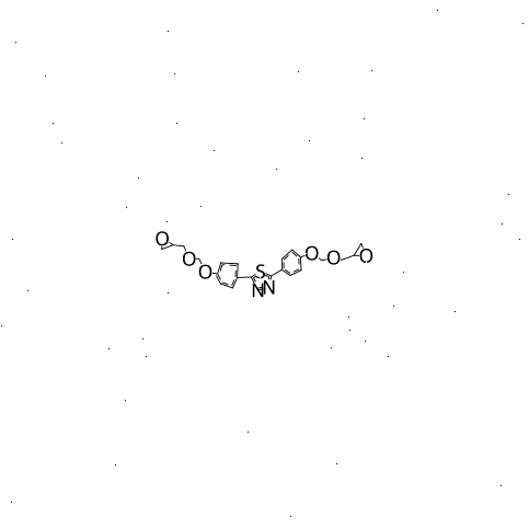 c1cc(-c2nnc(-c3ccc(OCOCC4CO4)cc3)s2)ccc1OCOCC1CO1